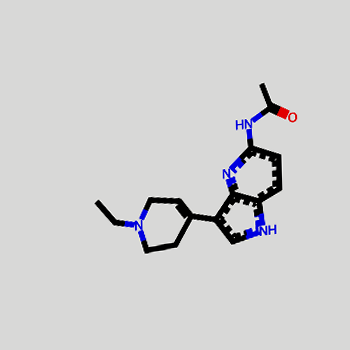 CCN1CC=C(c2c[nH]c3ccc(NC(C)=O)nc23)CC1